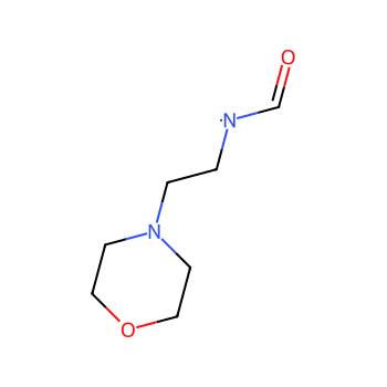 O=C[N]CCN1CCOCC1